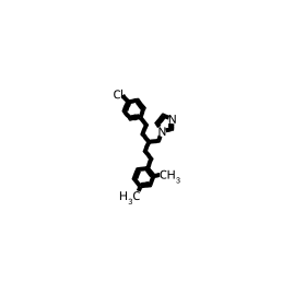 Cc1ccc(CCC(CCc2ccc(Cl)cc2)Cn2ccnc2)c(C)c1